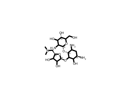 CN(C)C[C@H]1O[C@@H](OC2C(O)[C@H](N)CC(N)[C@H]2O[C@H]2OC(CO)[C@@H](O)C(O)C2N)C(O)C1O